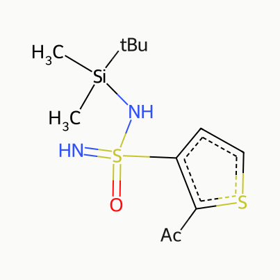 CC(=O)c1sccc1S(=N)(=O)N[Si](C)(C)C(C)(C)C